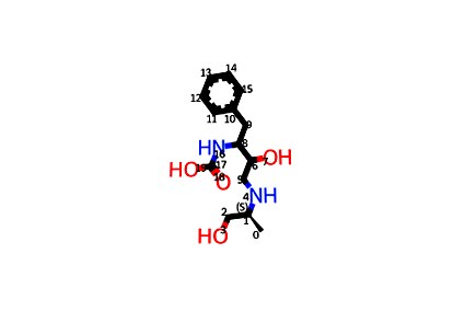 C[C@@H](CO)NCC(O)C(Cc1ccccc1)NC(=O)O